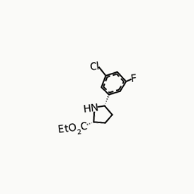 CCOC(=O)[C@H]1CC[C@@H](c2cc(F)cc(Cl)c2)N1